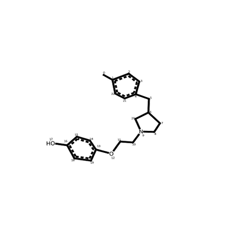 Cc1ccc(CC2CCN(CCOc3ccc(O)cc3)C2)cc1